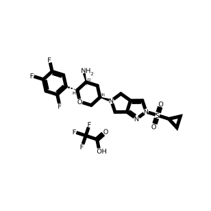 N[C@H]1C[C@@H](N2Cc3cn(S(=O)(=O)C4CC4)nc3C2)CO[C@@H]1c1cc(F)c(F)cc1F.O=C(O)C(F)(F)F